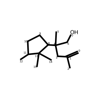 C=C(C)CC(C)(CO)C1CCC(C)C1(C)C